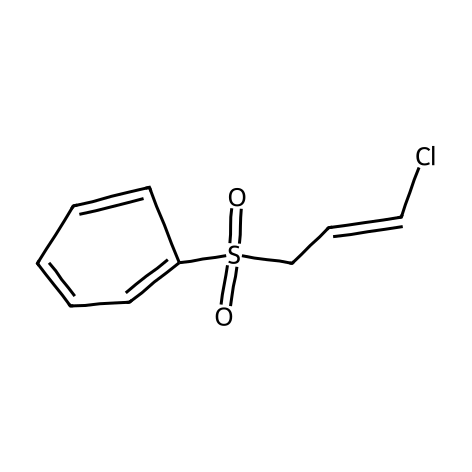 O=S(=O)(CC=CCl)c1ccccc1